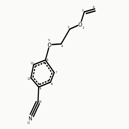 C=COCCOc1ccc(C#N)cc1